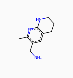 Cc1nc2c(cc1CN)CCCN2